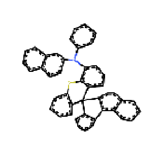 c1ccc(N(c2ccc3ccccc3c2)c2cccc3c2Sc2ccccc2C32c3ccccc3-c3c2ccc2ccccc32)cc1